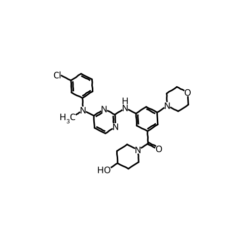 CN(c1cccc(Cl)c1)c1ccnc(Nc2cc(C(=O)N3CCC(O)CC3)cc(N3CCOCC3)c2)n1